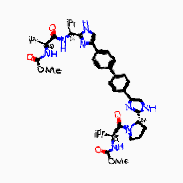 COC(=O)N[C@H](C(=O)N[C@H](c1nc(-c2ccc(-c3ccc(-c4c[nH]c([C@@H]5CCCN5C(=O)[C@@H](NC(=O)OC)C(C)C)n4)cc3)cc2)c[nH]1)C(C)C)C(C)C